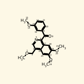 COCc1cnc(C(=O)c2cccc(OC)c2)c2cc(OC)c(OC)cc12